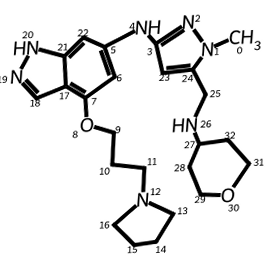 Cn1nc(Nc2cc(OCCCN3CCCC3)c3cn[nH]c3c2)cc1CNC1CCOCC1